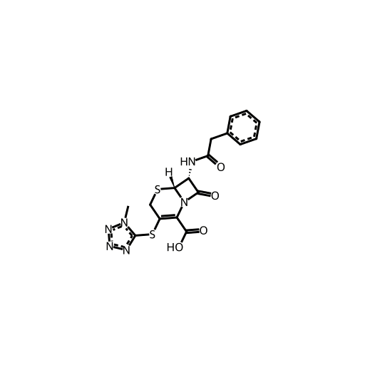 Cn1nnnc1SC1=C(C(=O)O)N2C(=O)[C@@H](NC(=O)Cc3ccccc3)[C@H]2SC1